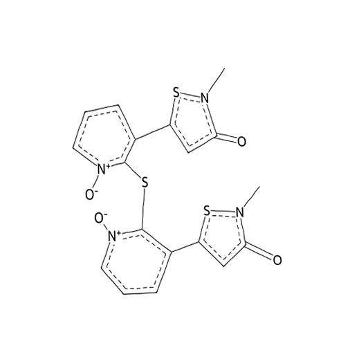 Cn1sc(-c2ccc[n+]([O-])c2Sc2c(-c3cc(=O)n(C)s3)ccc[n+]2[O-])cc1=O